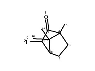 [2H]C1C(=O)C2(C)CCC1C2(C)C